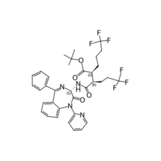 CC(C)(C)OC(=O)[C@@H](CCCC(F)(F)F)[C@@H](CCC(F)(F)F)C(=O)N[C@H]1N=C(c2ccccc2)c2ccccc2N(c2ccccn2)C1=O